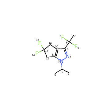 CC(C)n1nc(C(C)(F)F)c2c1CC(F)(F)C2